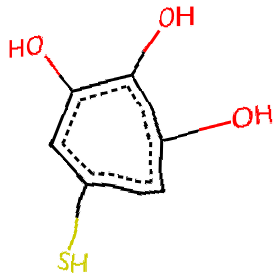 Oc1cc(S)cc(O)c1O